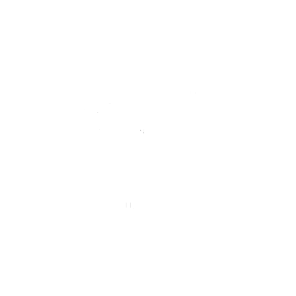 COc1ccc(N(C2=CC(=O)C(=O)c3cc4ccccc4cc32)c2ccc(OC)cc2)cc1